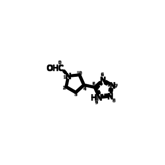 O=CN1CCC(c2nnn[nH]2)C1